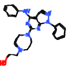 OCCN1CCN(c2nc(Nc3ccccc3)c3cnn(-c4ccccc4)c3n2)CC1